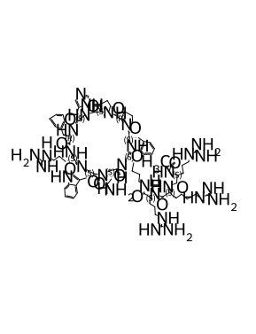 CC(=O)N[C@@H](CCCNC(=N)N)C(=O)N[C@@H](CCCCNC(=N)N)C(=O)N[C@@H](CCCNC(=N)N)C(=O)NCCCC[C@@H]1NC(=O)[C@H](CC(N)=O)NC(=O)[C@H](Cc2c[nH]c3ccccc23)NC(=O)[C@H](CCCNC(=N)N)NC(=O)[C@@H](Cc2ccccc2)NC(=O)[C@H](Cc2cnc[nH]2)NC(=O)[C@@H]2CCCN2C(=O)[C@H]2CCCN2C(=O)[C@H](Cc2ccccc2)NC1=O